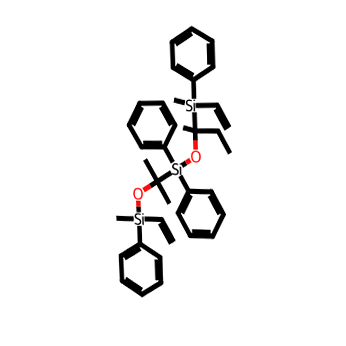 C=C[Si](C)(OC(C)(C)[Si](OC(C)(CC)[Si](C)(C=C)c1ccccc1)(c1ccccc1)c1ccccc1)c1ccccc1